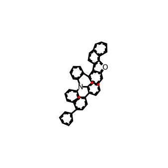 c1ccc(-c2ccc(-c3ccccc3N(c3ccccc3)c3ccccc3-c3cccc4oc5c6ccccc6ccc5c34)cc2)cc1